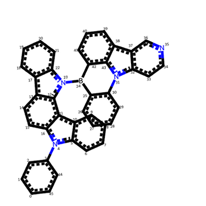 c1ccc(-n2c3ccccc3c3c4c(ccc32)c2ccccc2n4B2c3ccccc3-n3c4ccncc4c4cccc2c43)cc1